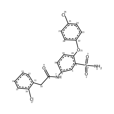 NS(=O)(=O)c1cc(NC(=O)Cc2ccccc2Cl)ccc1Oc1ccc(Cl)cc1